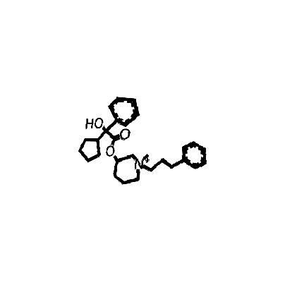 C[N+]1(CCCc2ccccc2)CCCC(OC(=O)C(O)(c2ccccc2)C2CCCC2)C1